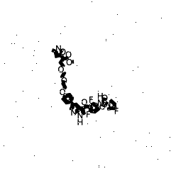 COC(=O)C(CCOCCOCCOc1ccc(-c2cnc3[nH]cc(C(=O)c4c(F)ccc(NS(=O)(=O)N5CC[C@@H](F)C5)c4F)c3c2)cc1)c1cc(C)no1